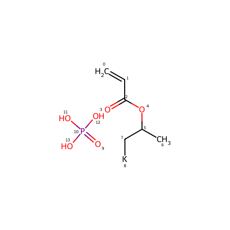 C=CC(=O)OC(C)[CH2][K].O=P(O)(O)O